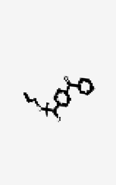 C=CCOC(C)(C)C(=O)c1ccc(C(=O)c2ccccc2)cc1